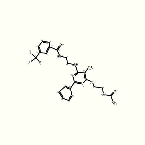 CC(=O)NCCNc1nc(-c2ccccc2)nc(NCCNC(=O)c2cccc(C(F)(F)F)c2)c1C